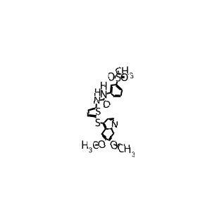 COc1cc2nccc(Sc3ccc(NC(=O)Nc4cccc(S(C)(=O)=O)c4)s3)c2cc1OC